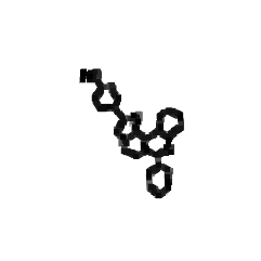 Oc1ccc(-c2cn3ccc4c(-c5ccccc5)nc5ccccc5c4c3n2)cc1